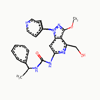 COc1nn(-c2ccncc2)c2cc(NC(=O)NC(C)c3ccccc3)nc(CO)c12